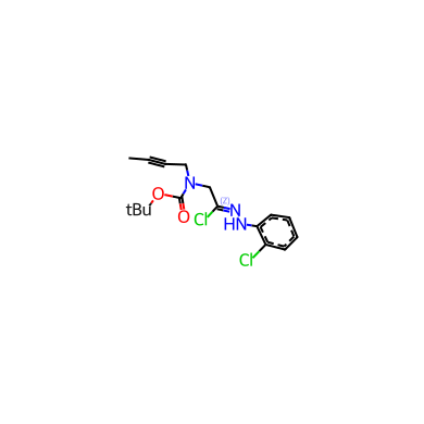 CC#CCN(C/C(Cl)=N/Nc1ccccc1Cl)C(=O)OC(C)(C)C